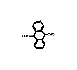 O=CC1c2ccccc2C(C=O)c2ccccc21